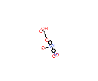 COCCCn1c(-c2ccc([N+](=O)[O-])cc2)nc2ccc(OCCCCCC(=O)O)cc21